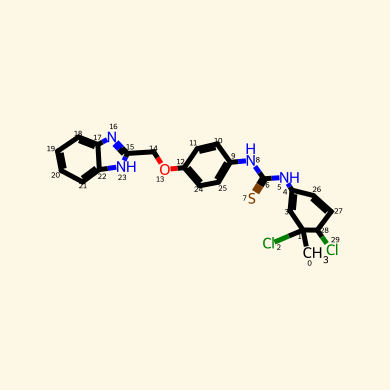 CC1(Cl)C=C(NC(=S)Nc2ccc(OCc3nc4ccccc4[nH]3)cc2)C=CC1Cl